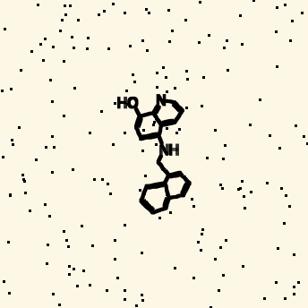 Oc1ccc(NCc2cccc3ccccc23)c2cccnc12